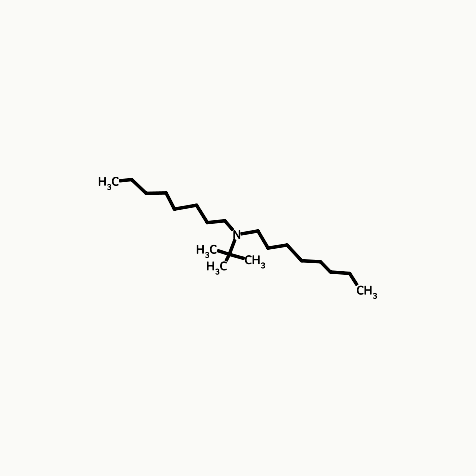 CCCCCCCCN(CCCCCCCC)C(C)(C)C